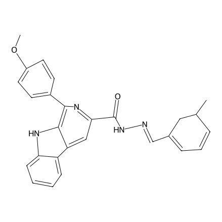 COc1ccc(-c2nc(C(=O)N/N=C/C3=CC=CC(C)C3)cc3c2[nH]c2ccccc23)cc1